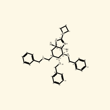 c1ccc(COC[C@H]2C[C@@H]3OC(N4CCC4)=N[C@H]3[C@@H](OCc3ccccc3)[C@@H]2OCc2ccccc2)cc1